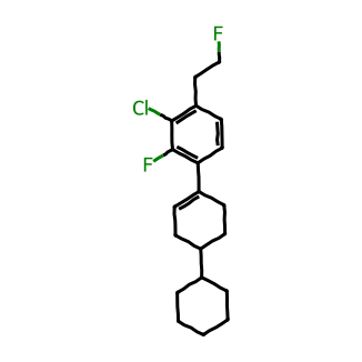 FCCc1ccc(C2=CCC(C3CCCCC3)CC2)c(F)c1Cl